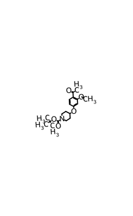 COc1cc(OC2CCN(C(=O)OC(C)(C)C)CC2)ccc1C(C)=O